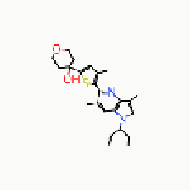 CCC(CC)n1cc(C)c2nc(-c3sc(C4(O)CCOCC4)cc3C)c(C)cc21